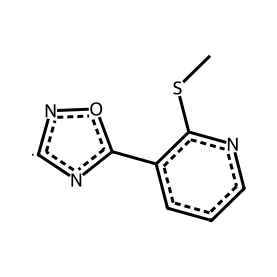 CSc1ncccc1-c1n[c]no1